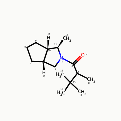 CC(C(=O)N1C[C@@H]2CCC[C@@H]2[C@H]1C)C(C)(C)C